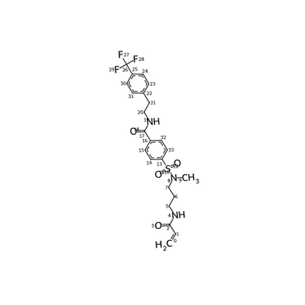 C=CC(=O)NCCCN(C)S(=O)(=O)c1ccc(C(=O)NCCc2ccc(C(F)(F)F)cc2)cc1